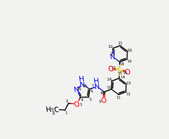 CCCOc1cc(NC(=O)c2cccc(S(=O)(=O)c3ccccn3)c2)[nH]n1